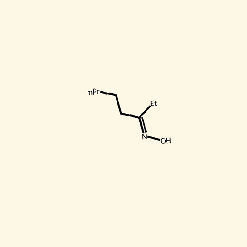 CCCCC/C(CC)=N/O